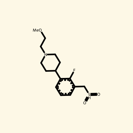 COCCN1CCC(c2cccc(C[SH](=O)=O)c2F)CC1